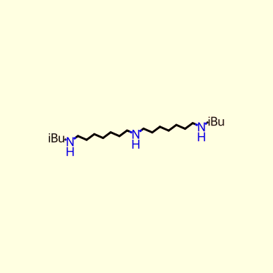 CCC(C)NCCCCCCCNCCCCCCCNC(C)CC